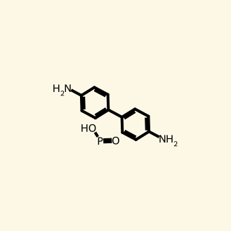 Nc1ccc(-c2ccc(N)cc2)cc1.O=PO